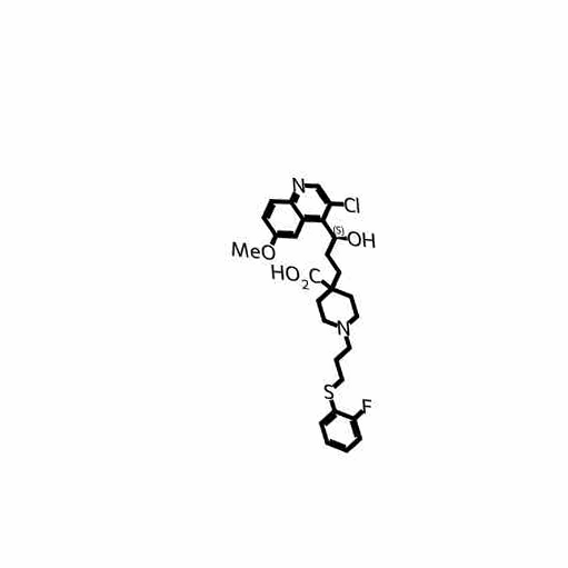 COc1ccc2ncc(Cl)c([C@@H](O)CCC3(C(=O)O)CCN(CCCSc4ccccc4F)CC3)c2c1